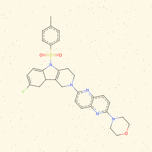 Cc1ccc(S(=O)(=O)N2C3=CC=C(F)CC3C3=C2CCN(c2ccc4nc(N5CCOCC5)ccc4n2)C3)cc1